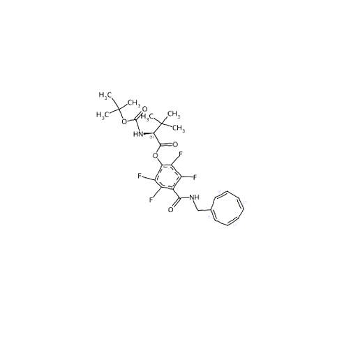 CC(C)(C)OC(=O)N[C@H](C(=O)Oc1c(F)c(F)c(C(=O)NCC2=C/C=C\C=C/C=C\2)c(F)c1F)C(C)(C)C